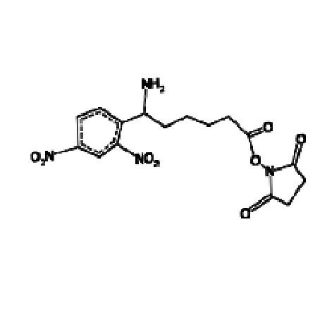 NC(CCCCC(=O)ON1C(=O)CCC1=O)c1ccc([N+](=O)[O-])cc1[N+](=O)[O-]